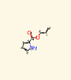 C=CCOC(=O)c1ccc[nH]1